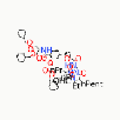 CCCCCC(C(=O)NCNC(=O)c1ccc(-c2ccc(C(=O)NC(CC(=O)OCc3ccccc3)C(=O)OCc3ccccc3)c(OCC(=O)OCc3ccccc3)c2)o1)[C@@H](CC)N(C=O)OC(=O)C(CCC)CCC